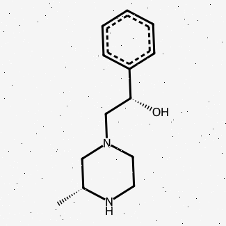 C[C@@H]1CN(C[C@@H](O)c2ccccc2)CCN1